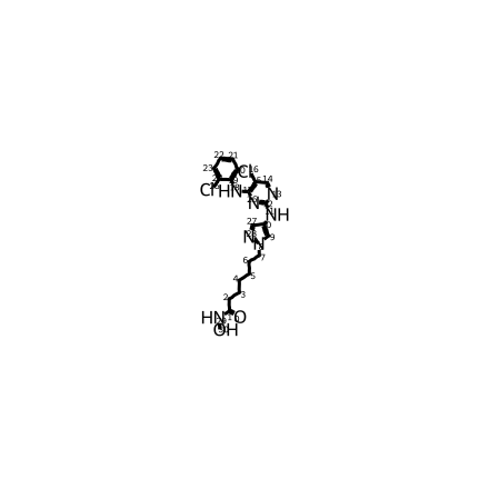 O=C(CCCCCCn1cc(Nc2ncc(Cl)c(Nc3ccccc3Cl)n2)cn1)NO